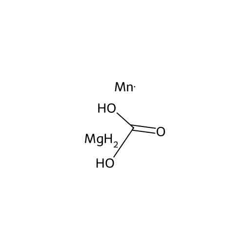 O=C(O)O.[MgH2].[Mn]